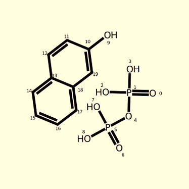 O=P(O)(O)OP(=O)(O)O.Oc1ccc2ccccc2c1